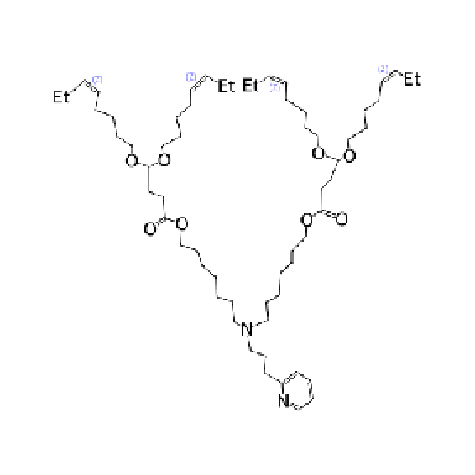 CC/C=C\CCCCOC(CCC(=O)OCCCCCCCN(CCCCCCCOC(=O)CCC(OCCCC/C=C\CC)OCCCC/C=C\CC)CCCc1ccccn1)OCCCC/C=C\CC